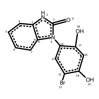 O=c1[nH]c2ccccc2n1-c1cc(Br)c(O)cc1O